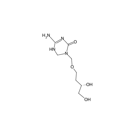 NC1=NC(=O)N(COCC[C@H](O)CO)CN1